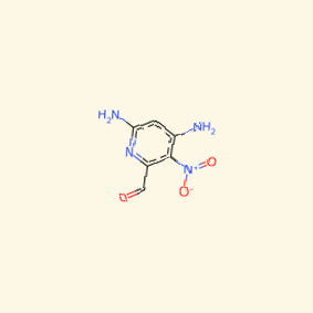 Nc1cc(N)c([N+](=O)[O-])c(C=O)n1